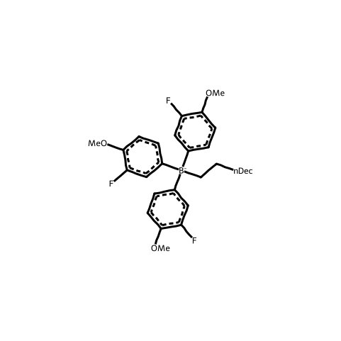 CCCCCCCCCCCC[B-](c1ccc(OC)c(F)c1)(c1ccc(OC)c(F)c1)c1ccc(OC)c(F)c1